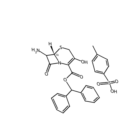 Cc1ccc(S(=O)(=O)O)cc1.NC1C(=O)N2C(C(=O)OC(c3ccccc3)c3ccccc3)=C(O)CS[C@@H]12